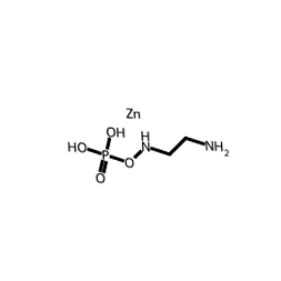 NCCNOP(=O)(O)O.[Zn]